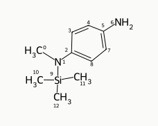 CN(c1ccc(N)cc1)[Si](C)(C)C